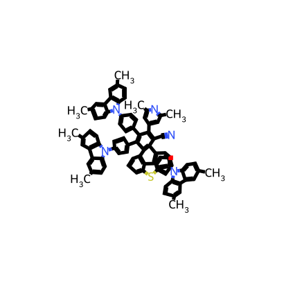 Cc1ccc2c(c1)c1cc(C)ccc1n2-c1ccc(-c2c(C#N)c(-c3cc(C)nc(C)c3)c(-c3ccc(-n4c5ccc(C)cc5c5cc(C)ccc54)cc3)c(-c3ccc(-n4c5ccc(C)cc5c5cc(C)ccc54)cc3)c2-c2cccc3sc4ccccc4c23)cc1